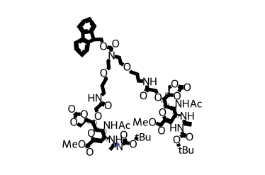 C=C(NC(=O)OC(C)(C)C)N[C@H]1C=C(C(=O)OC)O[C@@H]([C@H](OCC(=O)NCCCOCCN(CCOCCCNC(=O)CO[C@@H]([C@@H]2OC(C(=O)OC)=C[C@H](N/C(C)=N\C(=O)OC(C)(C)C)[C@H]2NC(C)=O)[C@H]2COC(=O)O2)C(=O)OCC2c3ccccc3-c3ccccc32)[C@H]2COC(=O)O2)[C@@H]1NC(C)=O